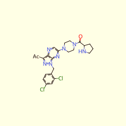 CC(=O)c1nn(Cc2ccc(Cl)cc2Cl)c2nc(N3CCN(C(=O)C4CCCN4)CC3)cnc12